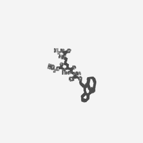 NC(=O)NCCCC(NC(=O)C(=O)O)C(=O)NNC(=O)OCC1c2ccccc2-c2ccccc21